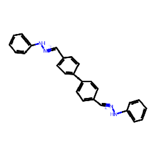 C(=N\Nc1ccccc1)/c1ccc(-c2ccc(/C=N/Nc3ccccc3)cc2)cc1